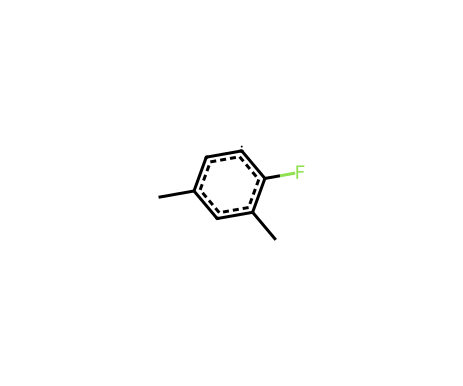 Cc1c[c]c(F)c(C)c1